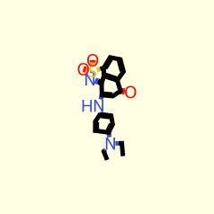 CCN(CC)c1ccc(NC2=CC(=O)c3cccc4c3C2=NS4(=O)=O)cc1